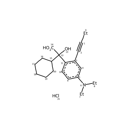 CCC#Cc1cc(N(CC)CC)ccc1C(O)(C(=O)O)C1CCCCC1.Cl